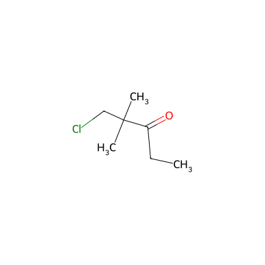 CCC(=O)C(C)(C)CCl